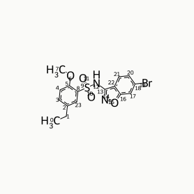 CCc1ccc(OC)c(S(=O)(=O)Nc2noc3cc(Br)ccc23)c1